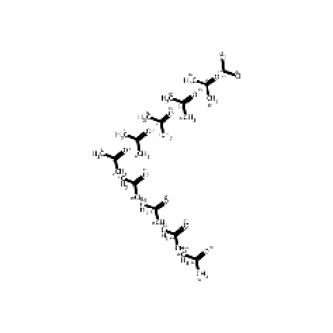 CC(C)=O.CC(C)=O.CC(C)=O.CC(C)=O.CC(C)=O.CC(C)=O.CC(C)=O.CC(C)=O.CC(C)=O.ClCCl